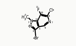 Cn1nc(Br)c2cnc(Cl)c(F)c21